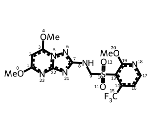 COc1cc(OC)n2nc(NCS(=O)(=O)c3c(C(F)(F)F)ccnc3OC)nc2n1